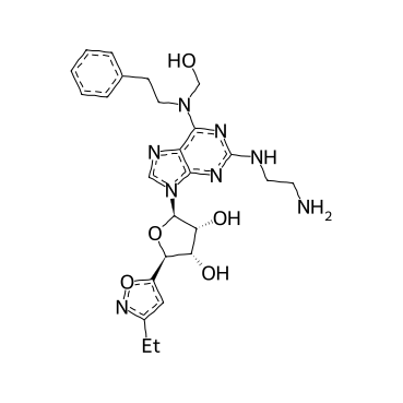 CCc1cc([C@H]2O[C@@H](n3cnc4c(N(CO)CCc5ccccc5)nc(NCCN)nc43)[C@H](O)[C@@H]2O)on1